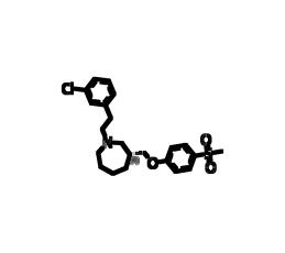 CS(=O)(=O)c1ccc(OC[C@@H]2CCCCN(CCc3cccc(Cl)c3)C2)cc1